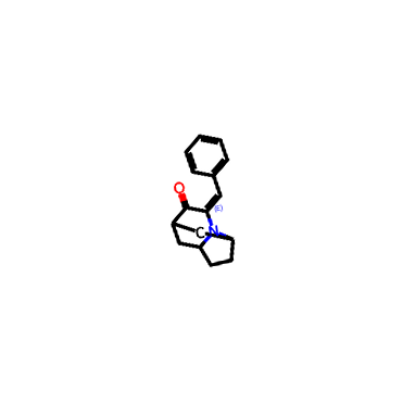 O=C1/C(=C\c2ccccc2)N2C3CCC2CC1C3